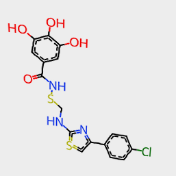 O=C(NSCNc1nc(-c2ccc(Cl)cc2)cs1)c1cc(O)c(O)c(O)c1